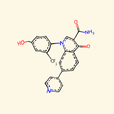 NC(=O)c1cn(-c2ccc(O)cc2C(F)(F)F)c2cc(-c3ccncc3)ccc2c1=O